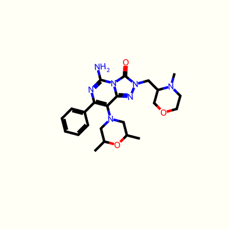 CC1CN(c2c(-c3ccccc3)nc(N)n3c(=O)n(CC4COCCN4C)nc23)CC(C)O1